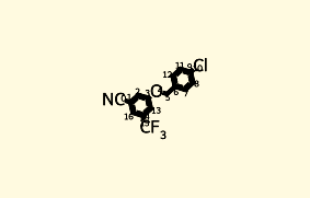 N#Cc1cc(OCc2ccc(Cl)cc2)cc(C(F)(F)F)c1